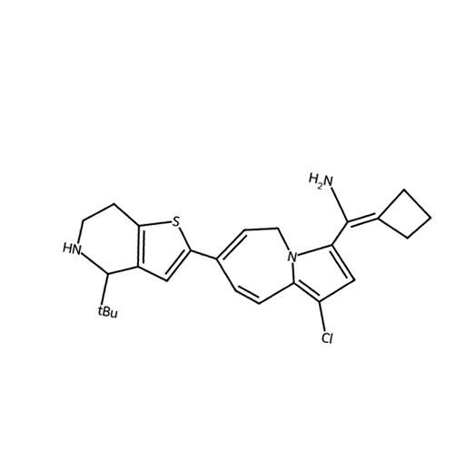 CC(C)(C)C1NCCc2sc(C3=CCn4c(C(N)=C5CCC5)cc(Cl)c4C=C3)cc21